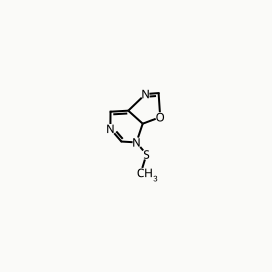 CSN1C=NC=C2N=COC21